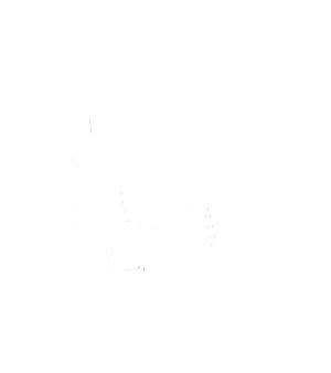 CCOC(=O)Cc1cncc2ccc(OCC)cc12